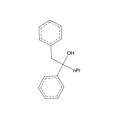 CCCC(O)(Cc1ccccc1)c1ccccc1